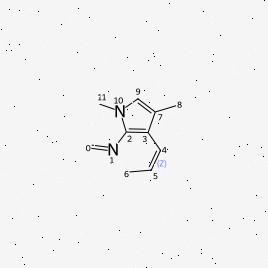 C=Nc1c(/C=C\C)c(C)cn1C